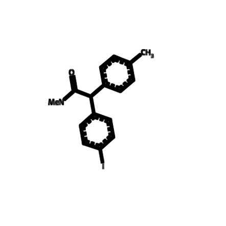 CNC(=O)C(c1ccc(C)cc1)c1ccc(I)cc1